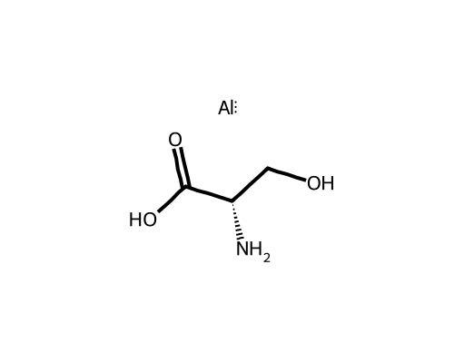 N[C@@H](CO)C(=O)O.[Al]